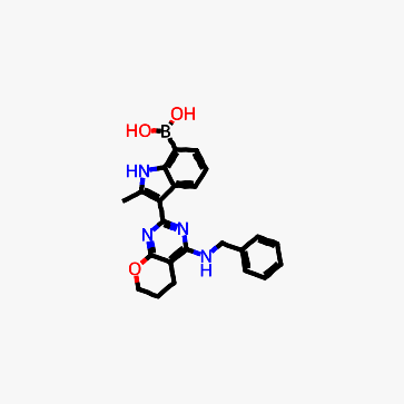 Cc1[nH]c2c(B(O)O)cccc2c1-c1nc(NCc2ccccc2)c2c(n1)OCCC2